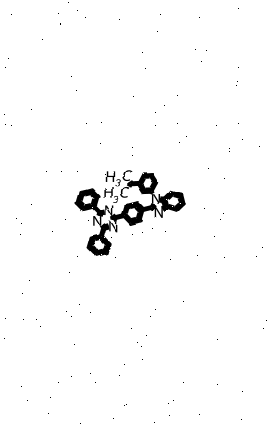 CC(C)c1cccc(-n2c(-c3ccc(-c4nc(-c5ccccc5)nc(-c5ccccc5)n4)cc3)nc3ccccc32)c1